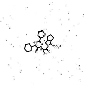 CC(C)(C)C(NC(=O)[C@@H](NC(=O)c1cnccn1)C1CCCCC1)C(=O)N1CC2CCCC2[C@H]1C(=O)O